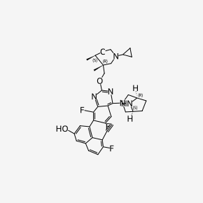 C#Cc1c(F)ccc2cc(O)cc(-c3c(F)cc4c(N5C[C@H]6CC[C@@H](C5)N6)nc(OC[C@@]5(C)CN(C6CC6)CC[C@@H]5C)nc4c3F)c12